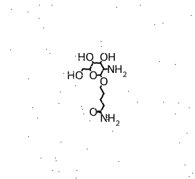 NC(=O)CCCCOC1OC(CO)C(O)C(O)C1N